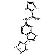 N=C(Nc1ccc2c(c1)CCN2C1CCNC1)c1cccs1